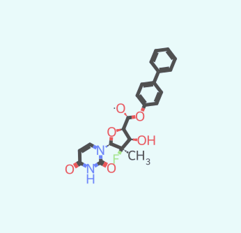 C[C@@]1(F)[C@H](O)[C@H]([C@H]([O])Oc2ccc(-c3ccccc3)cc2)O[C@H]1n1ccc(=O)[nH]c1=O